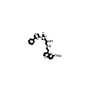 COc1ccc2nccc(CCNC[C@@H](O)[C@H]3CN(C4=COC=C(C5=CC=CCC5)O4)C(=O)O3)c2n1